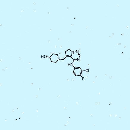 OC1CCN(CC2=C3C(Nc4ccc(F)c(Cl)c4)=NC=NN3CC2)CC1